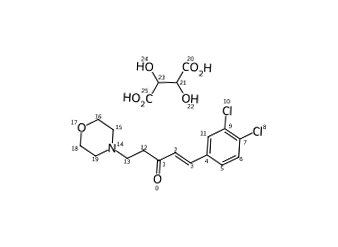 O=C(C=Cc1ccc(Cl)c(Cl)c1)CCN1CCOCC1.O=C(O)C(O)C(O)C(=O)O